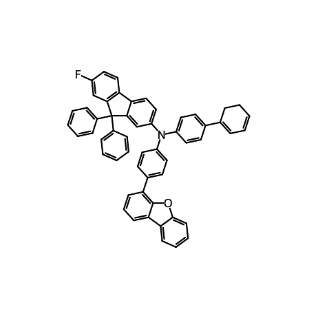 Fc1ccc2c(c1)C(c1ccccc1)(c1ccccc1)c1cc(N(c3ccc(C4=CC=CCC4)cc3)c3ccc(-c4cccc5c4oc4ccccc45)cc3)ccc1-2